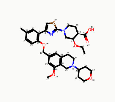 CCO[C@H]1CN(c2nc(-c3cc(C)ccc3OCc3cc4c(c(OC)c3)CN(C3CCOCC3)CC4)cs2)CC[C@H]1C(=O)O